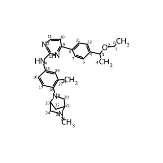 CCOC(C)c1ccc(-c2ccnc(Nc3ccc(N4CC5CC4CN5C)c(C)c3)n2)cc1